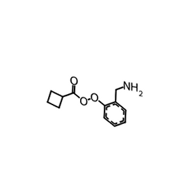 NCc1ccccc1OOC(=O)C1CCC1